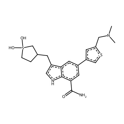 CN(C)Cc1cc(-c2cc(C(N)=O)c3[nH]cc(CC4CCS(O)(O)C4)c3c2)cs1